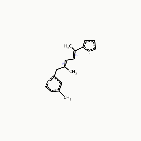 C/C(=C\C=C(/C)c1cccs1)Cc1cccc(C)c1